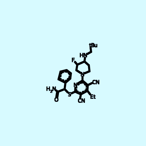 CCc1c(C#N)c(SC(C(N)=O)c2ccccc2)nc(N2CCC(NCC(C)(C)C)C(F)C2)c1C#N